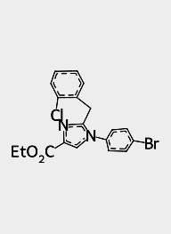 CCOC(=O)c1cn(-c2ccc(Br)cc2)c(Cc2ccccc2Cl)n1